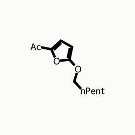 CCCCCCOc1ccc(C(C)=O)o1